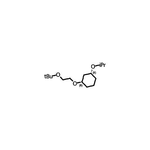 CC(C)O[C@@H]1CCC[C@@H](OCCOC(C)(C)C)C1